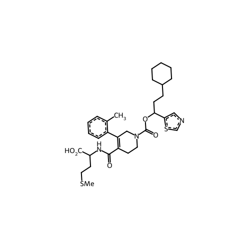 CSCCC(NC(=O)C1=C(c2ccccc2C)CN(C(=O)OC(CCC2CCCCC2)c2cncs2)CC1)C(=O)O